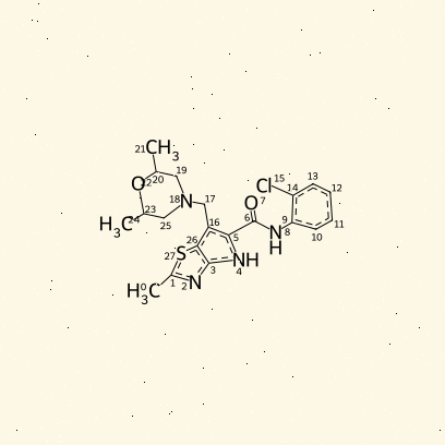 Cc1nc2[nH]c(C(=O)Nc3ccccc3Cl)c(CN3CC(C)OC(C)C3)c2s1